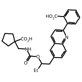 CCC(Cc1ccc2nc(-c3ccccc3C(=O)O)ccc2c1)OC(=O)NCC1(C(=O)O)CCCC1